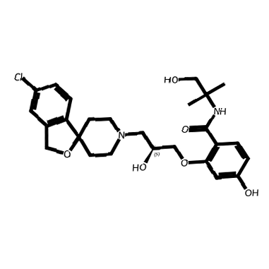 CC(C)(CO)NC(=O)c1ccc(O)cc1OC[C@@H](O)CN1CCC2(CC1)OCc1cc(Cl)ccc12